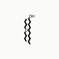 CCCCCCCCCCO.CCCCOCCCC